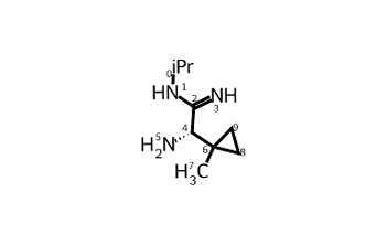 CC(C)NC(=N)[C@@H](N)C1(C)CC1